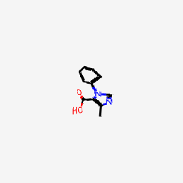 Cc1ncn(-c2ccccc2)c1C(=O)O